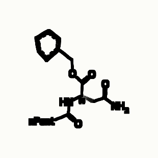 CCCCCC(=O)N[C@@H](CC(N)=O)C(=O)OCc1ccccc1